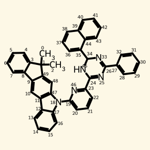 CC1(C)c2ccccc2-c2cc3c4ccccc4n(-c4cccc(C5=NC(c6ccccc6)=NC(c6cccc7ccccc67)N5)n4)c3cc21